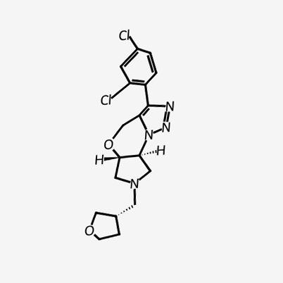 Clc1ccc(-c2nnn3c2CO[C@H]2CN(C[C@@H]4CCOC4)C[C@@H]23)c(Cl)c1